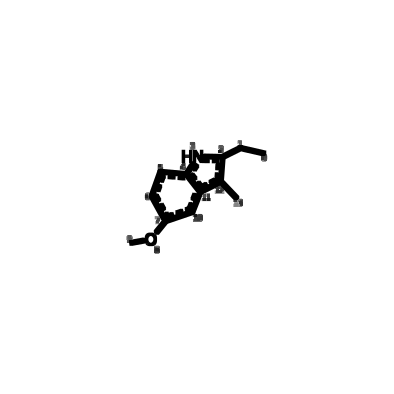 CCc1[nH]c2ccc(OC)cc2c1C